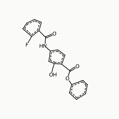 O=C(Oc1ccccc1)c1ccc(NC(=O)c2ccccc2F)cc1O